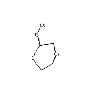 CCO[C]1COCCO1